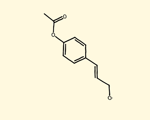 CC(=O)Oc1ccc(C=CC[O])cc1